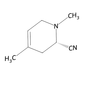 CC1=CCN(C)[C@H](C#N)C1